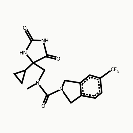 CN(CC1(C2CC2)NC(=O)NC1=O)C(=O)N1Cc2ccc(C(F)(F)F)cc2C1